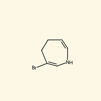 BrC1=CNC=CCC1